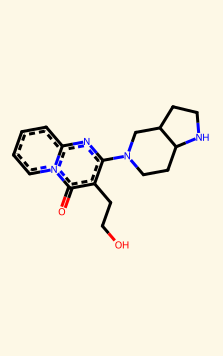 O=c1c(CCO)c(N2CCC3NCCC3C2)nc2ccccn12